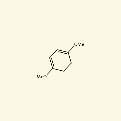 COC1=CC=C(OC)CC1